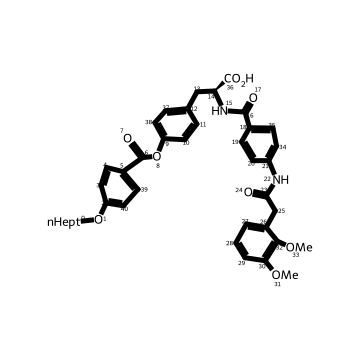 CCCCCCCOc1ccc(C(=O)Oc2ccc(C[C@H](NC(=O)c3ccc(NC(=O)Cc4cccc(OC)c4OC)cc3)C(=O)O)cc2)cc1